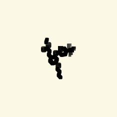 CCCCOc1ccc(CCC(=O)OCC)c(Oc2ccc(C(F)(F)F)cn2)c1